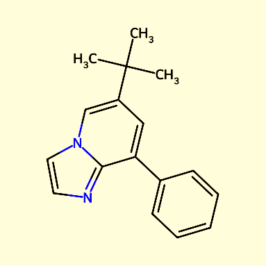 CC(C)(C)c1cc(-c2ccccc2)c2nccn2c1